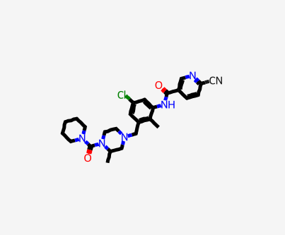 Cc1c(CN2CCN(C(=O)N3CCCCC3)C(C)C2)cc(Cl)cc1NC(=O)c1ccc(C#N)nc1